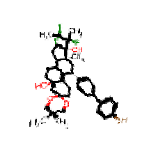 CC1(C)COC2(CCC3=C4C(CC[C@@]3(O)C2)C2CC[C@@](O)(C(C)(F)C(C)(F)F)[C@@]2(C)C[C@@H]4c2ccc(-c3ccc(S)cc3)cc2)OC1